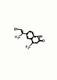 CC/C=C(\C)c1ccc2[nH]c(=O)cc(C(F)(F)F)c2c1